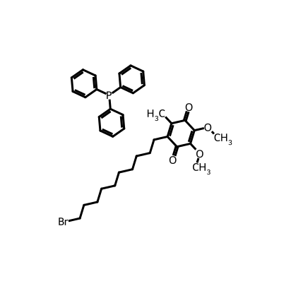 COC1=C(OC)C(=O)C(CCCCCCCCCCBr)=C(C)C1=O.c1ccc(P(c2ccccc2)c2ccccc2)cc1